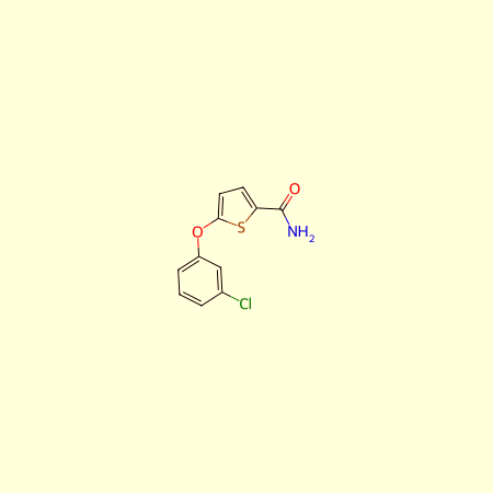 NC(=O)c1ccc(Oc2cccc(Cl)c2)s1